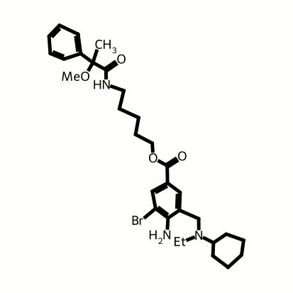 CCN(Cc1cc(C(=O)OCCCCCNC(=O)C(C)(OC)c2ccccc2)cc(Br)c1N)C1CCCCC1